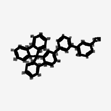 N#Cc1ccnc(-c2cccc(-c3ccc4c(c3)C3(c5ccccc5-c5ccccc53)c3ccccc3-4)c2)c1